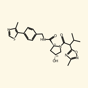 Cc1noc(C(C(=O)N2C[C@H](O)C[C@H]2C(=O)NCc2ccc(-c3scnc3C)cc2)C(C)C)n1